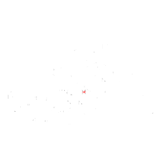 COc1ccc(CN(Cc2ccc(OC)cc2)S(=O)(=O)c2c(C(F)(F)F)ccc(Br)c2-c2nnn(Cc3ccc(OC)cc3)n2)cc1